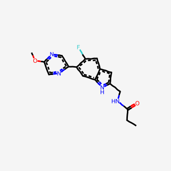 CCC(=O)NCc1cc2cc(F)c(-c3cnc(OC)cn3)cc2[nH]1